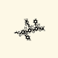 C=CCOC(=O)c1ccc(NC(=O)c2ccc(NC(=O)c3ccc(NC(=O)OC(C)(C)C)c(OCc4ccccc4)c3)c(OCCC(=O)OC(C)(C)C)c2)c(OCc2ccc(C)cc2)c1